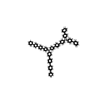 c1ccc(-c2ccc(-c3ccc(-c4ccc(N(c5ccc(-c6ccc(-c7ccc(-c8ccccc8)cc7)cc6)cc5)c5ccc(-c6ccc(-c7ccc(N(c8ccc(-c9ccccc9)cc8)c8ccc(-c9ccccc9)cc8)cc7)cc6)cc5)cc4)cc3)cc2)cc1